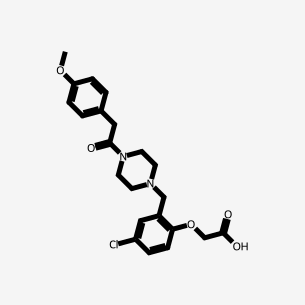 COc1ccc(CC(=O)N2CCN(Cc3cc(Cl)ccc3OCC(=O)O)CC2)cc1